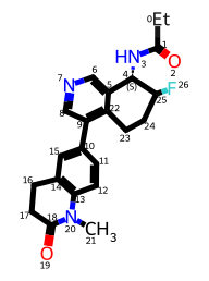 CCC(=O)N[C@H]1c2cncc(-c3ccc4c(c3)CCC(=O)N4C)c2CCC1F